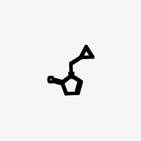 O=C1CC=CN1CC1CC1